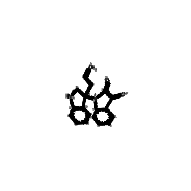 C=CCC1(N2C(=O)C(=O)c3ccccc32)CNc2ccccc21